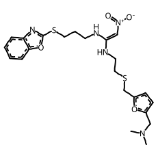 CN(C)Cc1ccc(CSCCN/C(=C/[N+](=O)[O-])NCCCSc2nc3ccccc3o2)o1